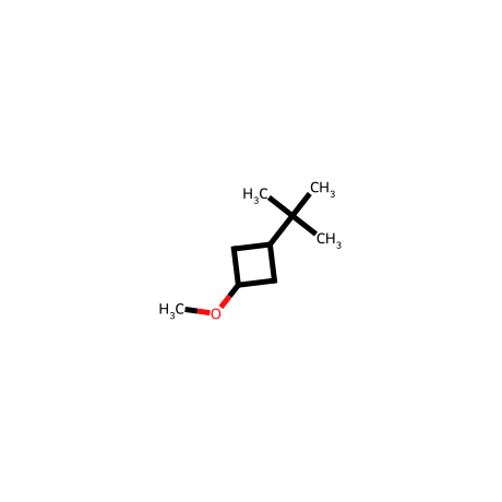 COC1CC(C(C)(C)C)C1